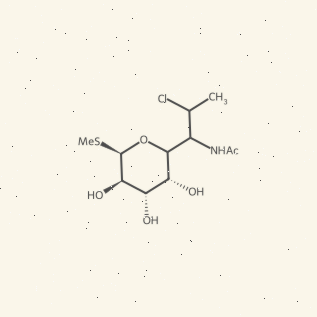 CS[C@H]1OC(C(NC(C)=O)C(C)Cl)[C@H](O)[C@H](O)[C@H]1O